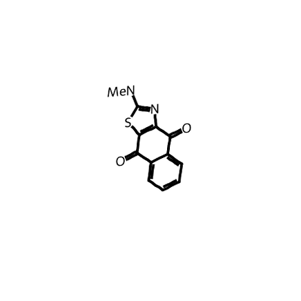 CNc1nc2c(s1)C(=O)c1ccccc1C2=O